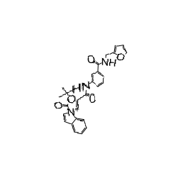 CC(C)(C)OC(=O)[N+]1(C=CC(=O)Nc2cccc(C(=O)NCc3ccco3)c2)C=Cc2ccccc21